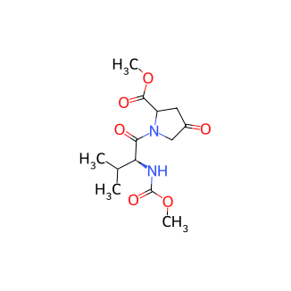 COC(=O)N[C@H](C(=O)N1CC(=O)CC1C(=O)OC)C(C)C